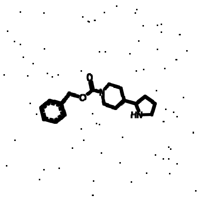 O=C(OCc1ccccc1)N1CCC(C2CCCN2)CC1